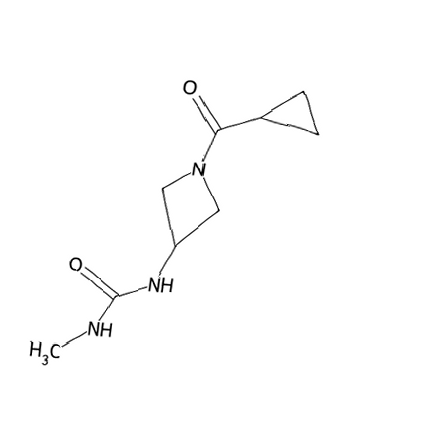 CNC(=O)NC1CN(C(=O)C2CC2)C1